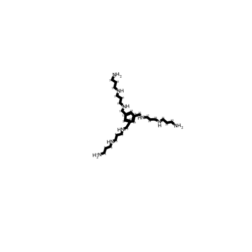 NCCCNCCCNCc1cc(CNCCCNCCCN)cc(CNCCCNCCCN)c1